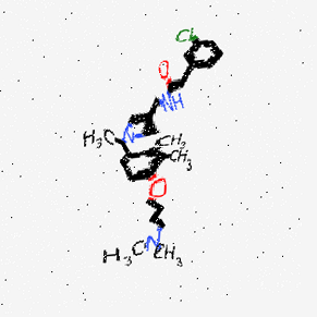 Cc1c(OCCCCN(C)C)ccc(C(C)N2CC(CNC(=O)Cc3cccc(Cl)c3)C2)c1C